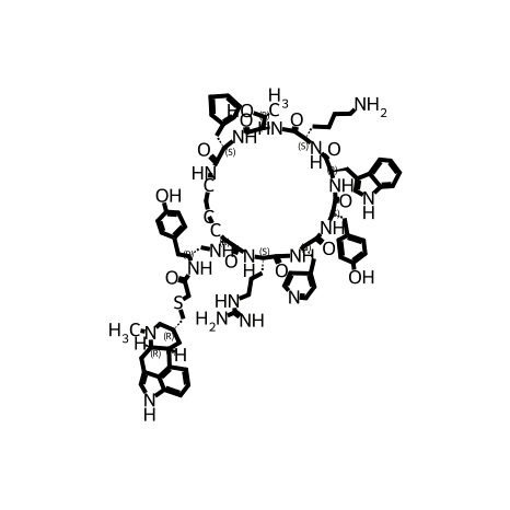 C[C@@H](O)[C@@H]1NC(=O)[C@H](CCCCN)NC(=O)[C@@H](Cc2c[nH]c3ccccc23)NC(=O)[C@H](Cc2ccc(O)cc2)NC(=O)[C@H](Cc2ccncc2)NC(=O)[C@H](CCCNC(=N)N)NC(=O)[C@H](NC[C@@H](Cc2ccc(O)cc2)NC(=O)CSC[C@@H]2C[C@@H]3c4cccc5[nH]cc(c45)C[C@H]3N(C)C2)CCCCNC(=O)[C@H](Cc2ccccc2)NC1=O